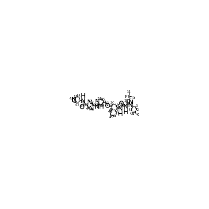 Cc1ccc(-n2nc(C(C)(C)C)cc2NC(=O)Nc2ccc(OCc3ccnc(Nc4cnc(C(=O)NC5CCN(C)CC5)cn4)c3)c3ccccc23)cc1